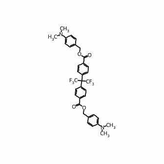 CN(C)c1ccc(COC(=O)c2ccc(C(c3ccc(C(=O)OCc4ccc(N(C)C)cc4)cc3)(C(F)(F)F)C(F)(F)F)cc2)cc1